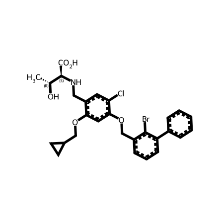 C[C@@H](O)[C@H](NCc1cc(Cl)c(OCc2cccc(-c3ccccc3)c2Br)cc1OCC1CC1)C(=O)O